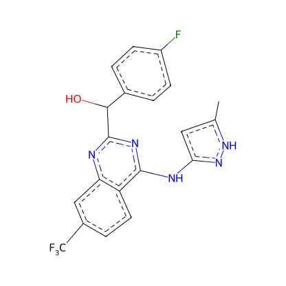 Cc1cc(Nc2nc(C(O)c3ccc(F)cc3)nc3cc(C(F)(F)F)ccc23)n[nH]1